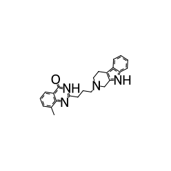 Cc1cccc2c(=O)[nH]c(CCCN3CCc4c([nH]c5ccccc45)C3)nc12